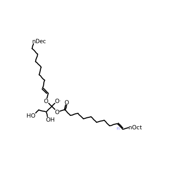 CCCCCCCC/C=C/CCCCCCCC(=O)OC([O])(OC=CCCCCCCCCCCCCCCCC)C(O)CO